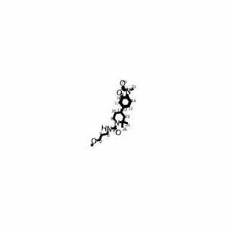 COCCCNC(=O)N1CCC(c2ccc3c(c2)oc(=O)n3C)CC1(C)C